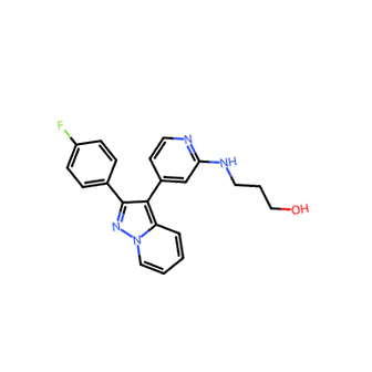 OCCCNc1cc(-c2c(-c3ccc(F)cc3)nn3ccccc23)ccn1